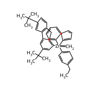 [CH2]=[Zr]([C]1=CC=CC1)([c]1ccccc1)([c]1ccc(CC)cc1)[c]1cc(C(C)(C)C)cc2c1Cc1ccc(C(C)(C)C)cc1-2